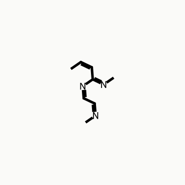 C\C=C/C(/N=C\C=N/C)=N\C